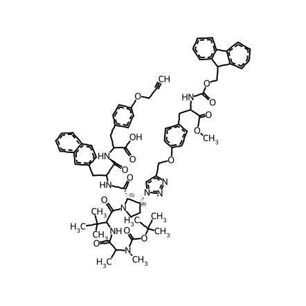 C#CCOc1ccc(CC(NC(=O)C(Cc2ccc3ccccc3c2)NC(=O)[C@@H]2[C@H](n3cc(COc4ccc(CC(NC(=O)OCC5c6ccccc6-c6ccccc65)C(=O)OC)cc4)nn3)CCN2C(=O)C(NC(=O)C(C)N(C)C(=O)OC(C)(C)C)C(C)(C)C)C(=O)O)cc1